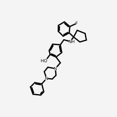 Oc1ccc(CNC2(c3ccccc3F)CCCC2)cc1CN1CCN(c2ccccc2)CC1